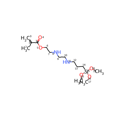 C=C(C)C(=O)OCCNCCNCCC[Si](OC)(OC)OC